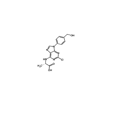 C[C@H](Nc1nc(Cl)nc2c1ncn2-c1ccc(CO)cc1)C(=O)O